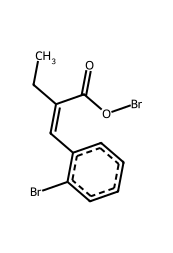 CCC(=Cc1ccccc1Br)C(=O)OBr